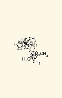 CCO[Si](CCCCN(c1ccccc1)[Si](C)(C)C(C)(C)C)(OCC)OCC